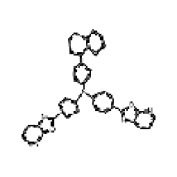 c1ccc2c(-c3ccc(N(c4ccc(-c5nc6cccnc6o5)cc4)c4ccc(-c5nc6cccnc6o5)cc4)cc3)cccc2c1